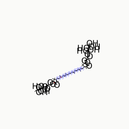 CCC(O)C(O)C(O)C(O)COC(=O)CCC(=O)OC1CC(C)(C)C(/C=C/C(C)=C/C=C/C(C)=C/C=C/C=C(C)/C=C/C=C(C)/C=C/C2=C(C)C(=O)C(OC(=O)CCC(=O)OCC(O)C(O)C(O)C(O)CO)CC2(C)C)=C(C)C1=O